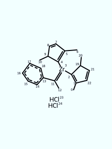 CC1=[C]([Zr]([C]2=C(C)C=CC2C)=[C](C)c2ccccc2)C(C)C=C1.Cl.Cl